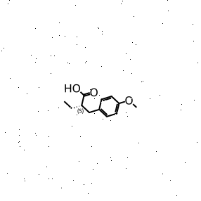 CC[C@@H](Cc1ccc(OC)cc1)C(=O)O